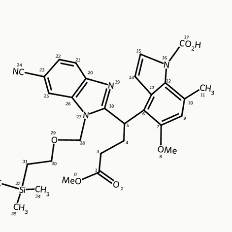 COC(=O)CCC(c1c(OC)cc(C)c2c1ccn2C(=O)O)c1nc2ccc(C#N)cc2n1COCC[Si](C)(C)C